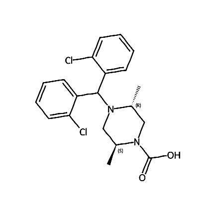 C[C@@H]1CN(C(=O)O)[C@@H](C)CN1C(c1ccccc1Cl)c1ccccc1Cl